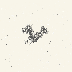 Nc1nn(Cc2ccc(Cn3ccccc3=O)cc2)cc1C(=O)NCC(=O)Nc1ccccc1Cl